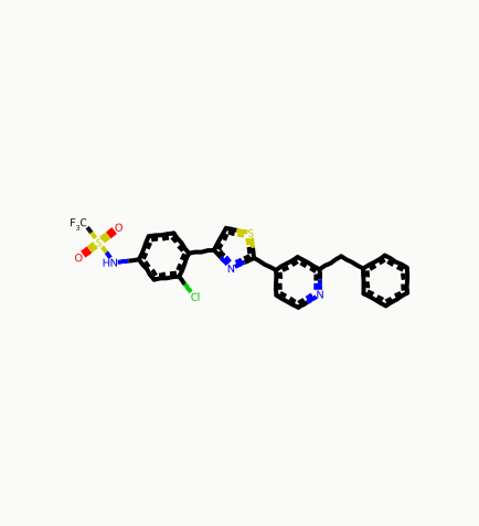 O=S(=O)(Nc1ccc(-c2csc(-c3ccnc(Cc4ccccc4)c3)n2)c(Cl)c1)C(F)(F)F